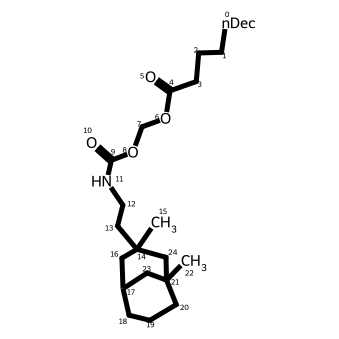 CCCCCCCCCCCCCC(=O)OCOC(=O)NCCC1(C)CC2CCCC(C)(C2)C1